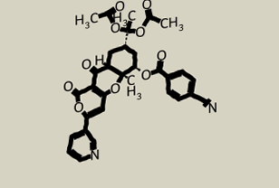 CC(=O)OC(C)(OC(C)=O)[C@@H]1C[C@H](OC(=O)c2ccc(C#N)cc2)[C@@]2(C)Oc3cc(-c4cccnc4)oc(=O)c3C(=O)[C@@H]2C1